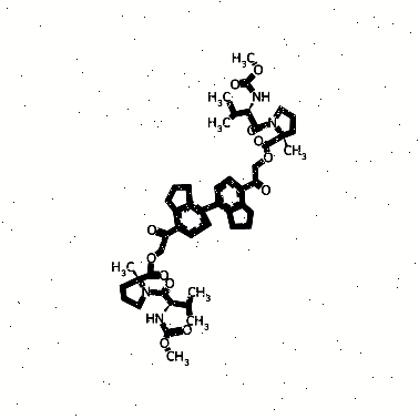 COC(=O)N[C@H](C(=O)N1CCC[C@@]1(C)C(=O)OCC(=O)c1ccc(-c2ccc(C(=O)COC(=O)[C@]3(C)CCCN3C(=O)[C@@H](NC(=O)OC)C(C)C)c3c2CCC3)c2c1CCC2)C(C)C